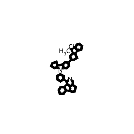 CC1(C)c2ccccc2-c2ccc(-c3ccc4c(c3)c3ccccc3n4-c3cccc(-c4ncc5cccc6c5c4-c4ccccc4-6)c3)cc21